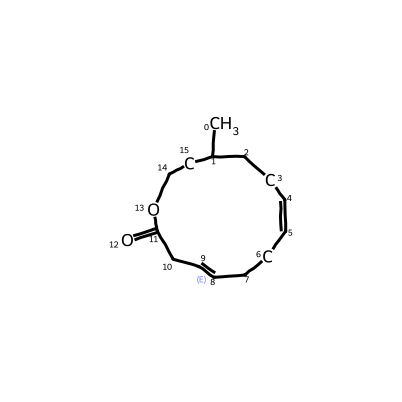 CC1CCC=CCC/C=C/CC(=O)OCC1